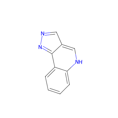 c1ccc2c3nncc-3c[nH]c2c1